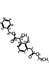 CCOC(=O)Cc1cccc([C@H](C)C(=O)OCc2ccccc2)c1F